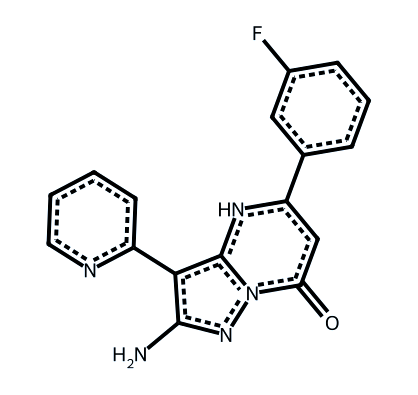 Nc1nn2c(=O)cc(-c3cccc(F)c3)[nH]c2c1-c1ccccn1